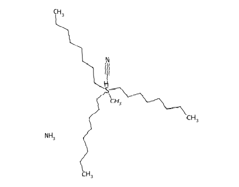 CCCCCCCC[SH](C)(C#N)(CCCCCCCC)CCCCCCCC.N